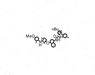 CCCCc1cc(NC(=O)Nc2ccc(Oc3ccnc(Nc4ccc(OC)cc4C)n3)c3ccccc23)n(-c2ccc(C)cc2)n1